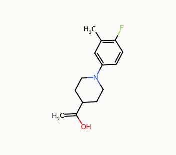 C=C(O)C1CCN(c2ccc(F)c(C)c2)CC1